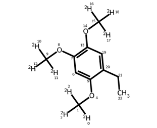 [2H]C([2H])([2H])Oc1cc(OC([2H])([2H])[2H])c(OC([2H])([2H])[2H])cc1CC